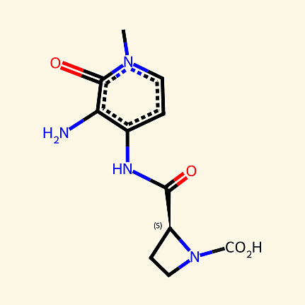 Cn1ccc(NC(=O)[C@@H]2CCN2C(=O)O)c(N)c1=O